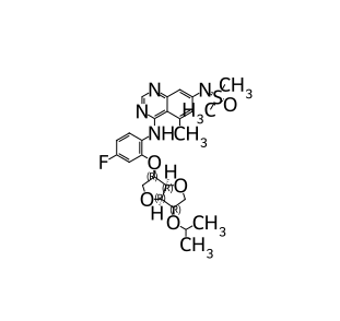 Cc1cc(N=S(C)(C)=O)cc2ncnc(Nc3ccc(F)cc3O[C@@H]3CO[C@H]4[C@@H]3OC[C@H]4OC(C)C)c12